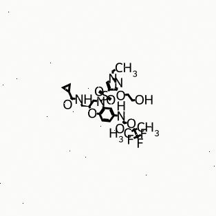 CCn1cc(S(=O)(=O)N2C[C@H](CNC(=O)C3CC3)Oc3ccc(NC(=O)OC(C)(C)C(F)(F)F)cc32)c(OCCO)n1